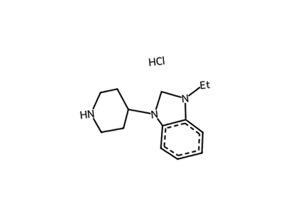 CCN1CN(C2CCNCC2)c2ccccc21.Cl